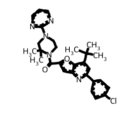 CC(C)(C)c1cc(-c2ccc(Cl)cc2)nc2cc(C(=O)N3CCN(c4ncccn4)CC3(C)C)oc12